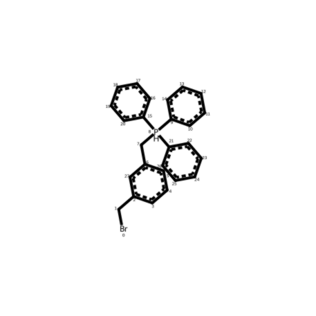 BrCc1cccc(C[PH](c2ccccc2)(c2ccccc2)c2ccccc2)c1